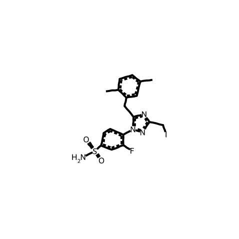 Cc1ccc(C)c(Cc2nc(CI)nn2-c2ccc(S(N)(=O)=O)cc2F)c1